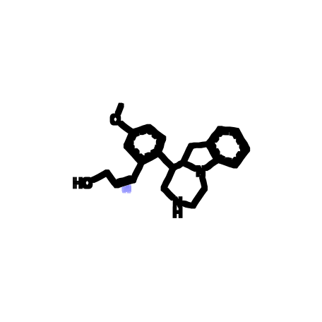 COc1ccc(C2CNCCN3c4ccccc4CC23)c(/C=C\CO)c1